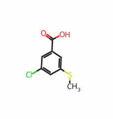 CSc1cc(Cl)cc(C(=O)O)c1